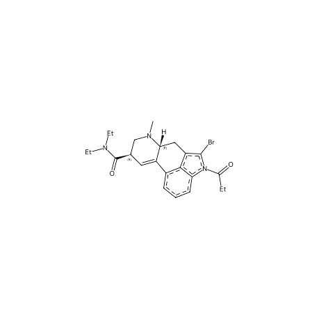 CCC(=O)n1c(Br)c2c3c(cccc31)C1=C[C@@H](C(=O)N(CC)CC)CN(C)[C@@H]1C2